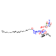 CCC=CCC=CCC=CCC=CCC=CCC=CCCC(=O)NCCNP(=O)(NCC(=O)OC)OC[C@H]1O[C@@H](n2ccc(=O)[nH]c2=O)[C@](C)(F)[C@@H]1O